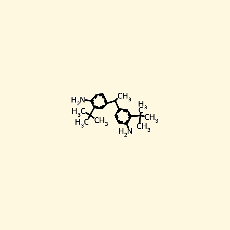 CC(c1ccc(N)c(C(C)(C)C)c1)c1ccc(N)c(C(C)(C)C)c1